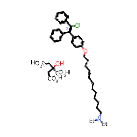 CCN(CC)CCCCCCCCCCCCOc1ccc(/C(=C(\Cl)c2ccccc2)c2ccccc2)cc1.O=C(O)CC(O)(CC(=O)O)C(=O)O